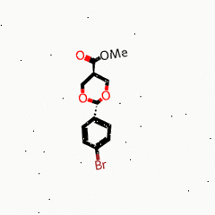 COC(=O)[C@H]1CO[C@H](c2ccc(Br)cc2)OC1